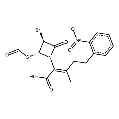 C/C(CCc1ccccc1[N+](=O)[O-])=C(\C(=O)O)N1C(=O)[C@H](Br)[C@H]1SC=O